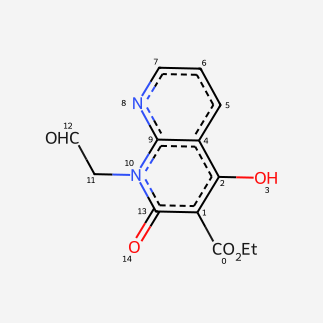 CCOC(=O)c1c(O)c2cccnc2n(CC=O)c1=O